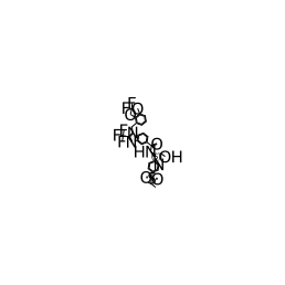 CCS(=O)(=O)c1ccc([C@@H](CO)NC(=O)c2ccc3c(c2)nc(C(F)(F)F)n3Cc2cccc3c2OC(F)(F)O3)nc1